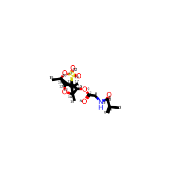 C=C(C)C(=O)NCC(=O)OC1C2C3OC1(C)C(C)C3(C)OS2(=O)=O